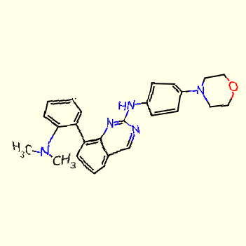 CN(C)c1cc[c]cc1-c1cccc2cnc(Nc3ccc(N4CCOCC4)cc3)nc12